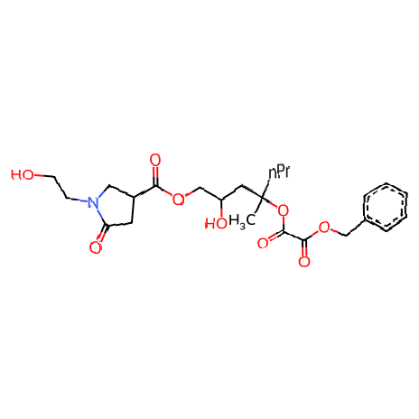 CCCC(C)(CC(O)COC(=O)C1CC(=O)N(CCO)C1)OC(=O)C(=O)OCc1ccccc1